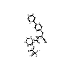 N#C[C@H](Cc1ccc(-c2cccnc2)cc1)NC(=O)[C@@H]1CCCCN1OC(=O)C(F)(F)F